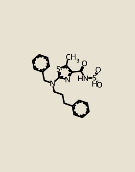 Cc1sc(N(CCCc2ccccc2)Cc2ccccc2)nc1C(=O)N[SH](=O)=O